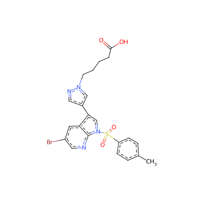 Cc1ccc(S(=O)(=O)n2cc(-c3cnn(CCCCC(=O)O)c3)c3cc(Br)cnc32)cc1